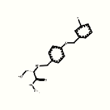 CNC(=O)[C@H](CO)NCc1ccc(OCc2cccc(F)c2)cc1